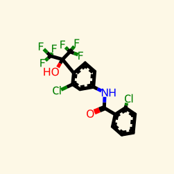 O=C(Nc1ccc(C(O)(C(F)(F)F)C(F)(F)F)c(Cl)c1)c1ccccc1Cl